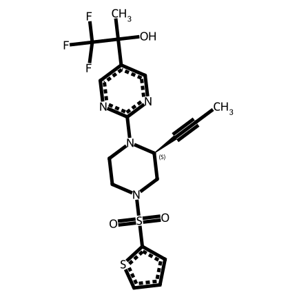 CC#C[C@H]1CN(S(=O)(=O)c2cccs2)CCN1c1ncc(C(C)(O)C(F)(F)F)cn1